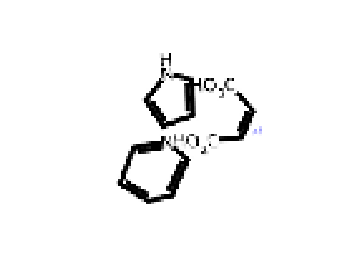 O=C(O)/C=C\C(=O)O.c1cc[nH]c1.c1ccncc1